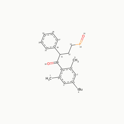 Cc1cc(C(C)(C)C)cc(C)c1C(=O)C(CCP=O)c1ccccc1